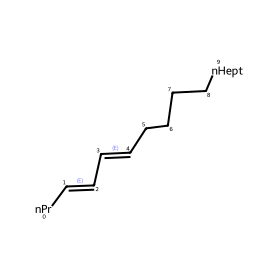 [CH2]CC/C=C/C=C/CCCCCCCCCCC